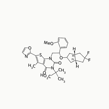 COc1ccccc1C(Cn1c(=O)n(C(C)(C)C(=O)O)c(=O)c2c(C)c(-c3ncco3)sc21)OC1C[C@@H]2CC(F)(F)C[C@@H]2C1